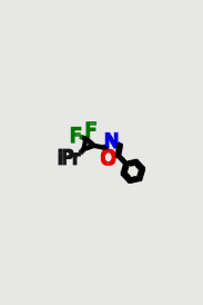 CC(C)C1C(c2ncc(-c3ccccc3)o2)C1(F)F